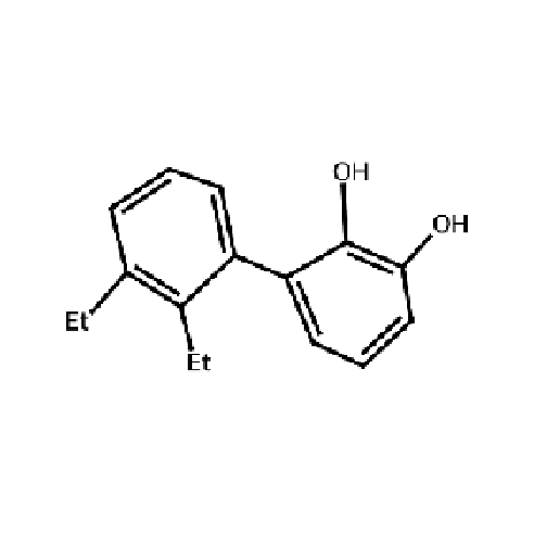 CCc1cccc(-c2cccc(O)c2O)c1CC